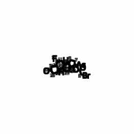 CC(=O)[C@@]1(OC(=O)CBr)CC[C@H]2[C@@H]3C[C@H](F)C4=CC(=O)CC[C@]4(C)[C@H]3CC[C@@]21C